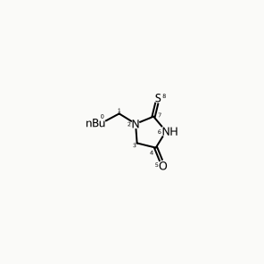 CCCCCN1CC(=O)NC1=S